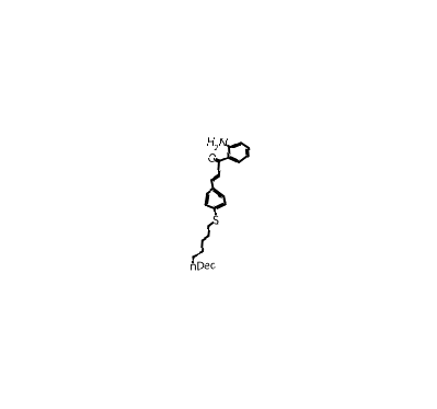 CCCCCCCCCCCCCCCSc1ccc(C=CC(=O)c2ccccc2N)cc1